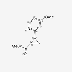 COC(=O)[C@H]1C[C@@H]1c1cc(OC)ccn1